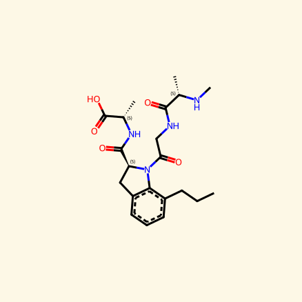 CCCc1cccc2c1N(C(=O)CNC(=O)[C@H](C)NC)[C@H](C(=O)N[C@@H](C)C(=O)O)C2